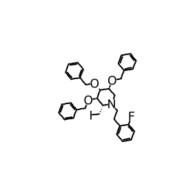 Fc1ccccc1CCN1C[C@H](OCc2ccccc2)[C@@H](OCc2ccccc2)[C@H](OCc2ccccc2)[C@H]1CI